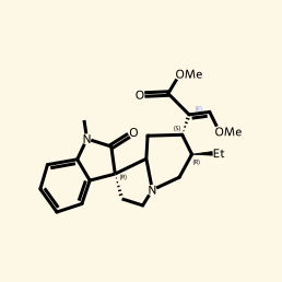 CC[C@H]1CN2CC[C@]3(C(=O)N(C)c4ccccc43)C2C[C@@H]1/C(=C\OC)C(=O)OC